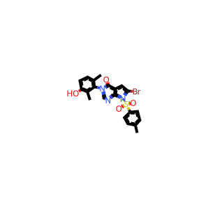 Cc1ccc(S(=O)(=O)n2c(Br)cc3c(=O)n(-c4c(C)ccc(O)c4C)cnc32)cc1